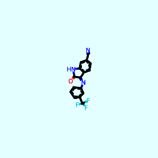 N#Cc1ccc2c(c1)NC(=O)C2=Nc1cccc(C(F)(F)F)c1